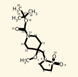 COC1(CN2CCCS2(=O)=O)CCN(C(=O)OC(C)(C)C)CC1